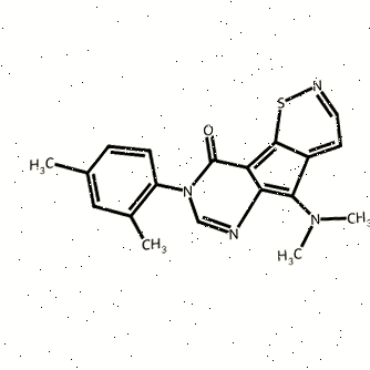 Cc1ccc(-n2cnc3c(N(C)C)c4ccnsc-4c3c2=O)c(C)c1